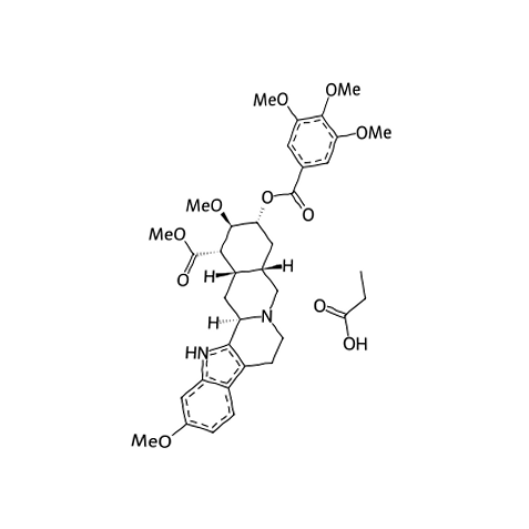 CCC(=O)O.COC(=O)[C@H]1[C@H]2C[C@@H]3c4[nH]c5cc(OC)ccc5c4CCN3C[C@H]2C[C@@H](OC(=O)c2cc(OC)c(OC)c(OC)c2)[C@@H]1OC